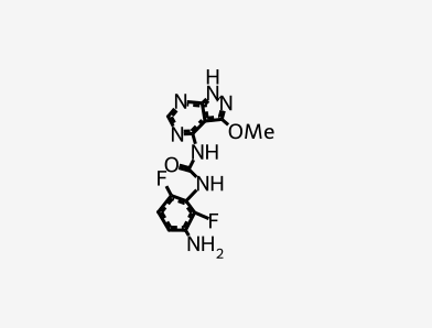 COc1n[nH]c2ncnc(NC(=O)Nc3c(F)ccc(N)c3F)c12